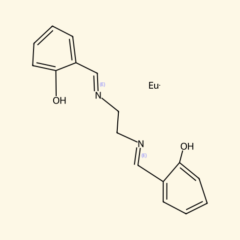 Oc1ccccc1/C=N/CC/N=C/c1ccccc1O.[Eu]